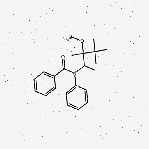 CC(N(C(=O)c1ccccc1)c1ccccc1)C(C)(O[SiH3])C(C)(C)C